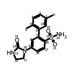 Cc1ccc(C)c(-c2cc(N3CCNC3=O)ccc2S(N)(=O)=O)c1